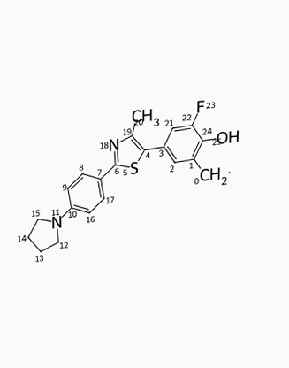 [CH2]c1cc(-c2sc(-c3ccc(N4CCCC4)cc3)nc2C)cc(F)c1O